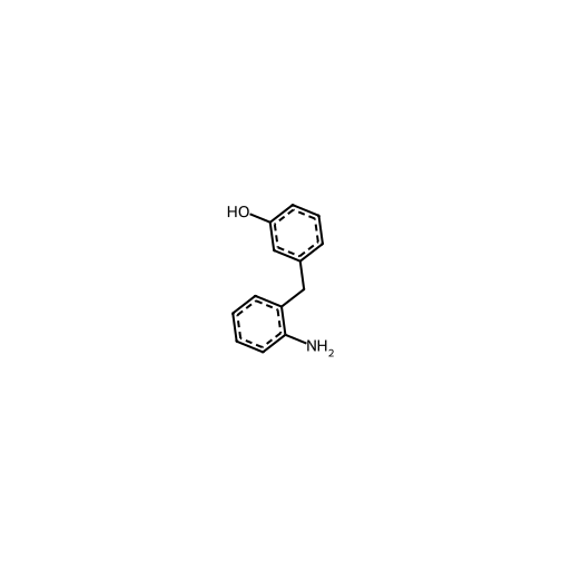 Nc1ccccc1Cc1cccc(O)c1